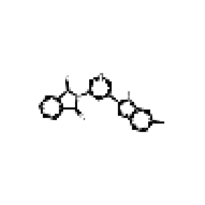 Cc1ccc2cc(-c3cncc(N4C(=O)c5ccccc5C4=O)c3)[nH]c2c1